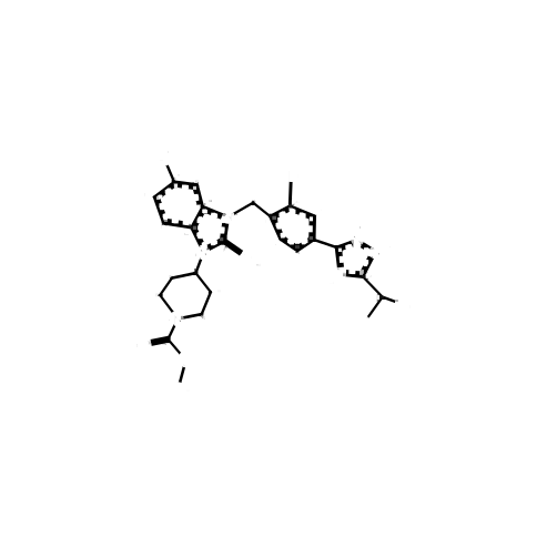 CC(C)(C)OC(=O)N1CCC(n2c(=O)n(Cc3ccc(-c4nnc(C(F)F)o4)cc3F)c3cc(Br)ccc32)CC1